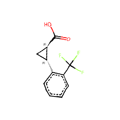 O=C(O)[C@@H]1C[C@H]1c1ccccc1C(F)(F)F